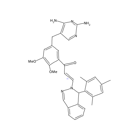 COc1cc(Cc2cnc(N)nc2N)cc(C(=O)/C=C/N2N=Cc3ccccc3C2c2c(C)cc(C)cc2C)c1OC